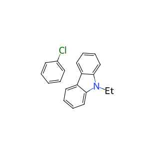 CCn1c2ccccc2c2ccccc21.Clc1ccccc1